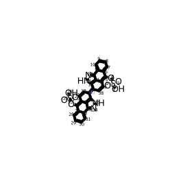 O=S(=O)(O)Oc1c2ccccc2c2n[nH]c3/c(=c4\ccc5c(OS(=O)(=O)O)c6ccccc6c6n[nH]c4c56)ccc1c32